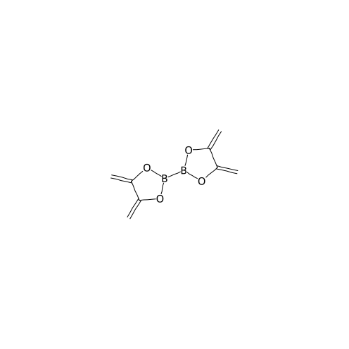 C=C1OB(B2OC(=C)C(=C)O2)OC1=C